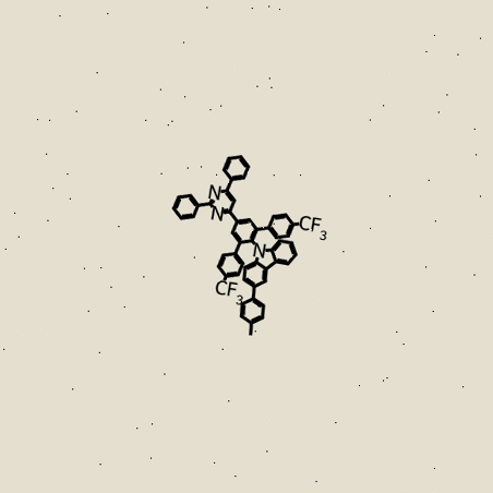 Cc1ccc(-c2ccc3c(c2)c2ccccc2n3-c2c(-c3ccc(C(F)(F)F)cc3)cc(-c3cc(-c4ccccc4)nc(-c4ccccc4)n3)cc2-c2ccc(C(F)(F)F)cc2)cc1